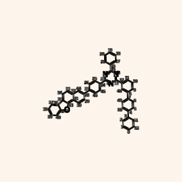 c1ccc(-c2ccc(-c3cccc(-c4nc(-c5ccccc5)nc(-c5ccc(-c6ccc7c(ccc8c9ccccc9oc78)c6)cc5)n4)c3)cc2)cc1